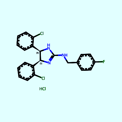 Cl.Fc1ccc(CNC2=N[C@@H](c3ccccc3Cl)[C@@H](c3ccccc3Cl)N2)cc1